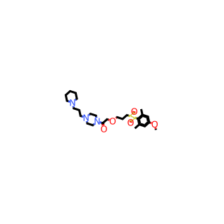 COc1cc(C)c(S(=O)(=O)CCCOCC(=O)N2CCN(CCCN3CCCCC3)CC2)c(C)c1